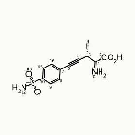 N[C@H](C(=O)O)[C@@H](F)C#Cc1ccc(S(N)(=O)=O)cc1